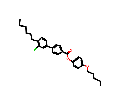 CCCCCCc1ccc(-c2ccc(C(=O)Oc3ccc(OCCCCC)cc3)cc2)cc1Cl